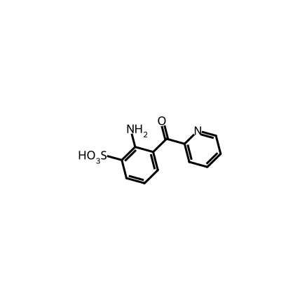 Nc1c(C(=O)c2ccccn2)cccc1S(=O)(=O)O